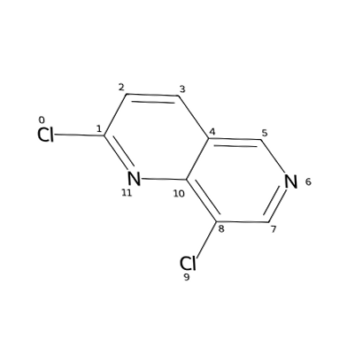 Clc1ccc2cncc(Cl)c2n1